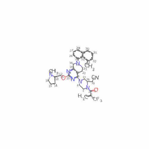 C=C(C(=O)N1CCN(c2nc(OCC3CCCN3C)nc3c2CCN(c2cccc4cccc(C)c24)C3)CC1CC#N)C(F)(F)F